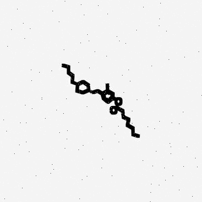 CCCCCCCC(=O)Oc1ccc(CC[C@H]2CC[C@H](CCCCC)CC2)c(C)c1